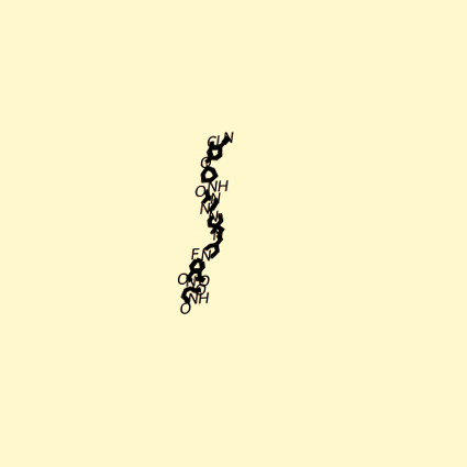 N#Cc1ccc(O[C@H]2CC[C@H](NC(=O)c3cnc(N4CCC5(CC4)CN(CC4CCN(c6cc7c(cc6F)C(=O)N(C6CCC(=O)NC6=O)C7=O)CC4)C5)cn3)CC2)cc1Cl